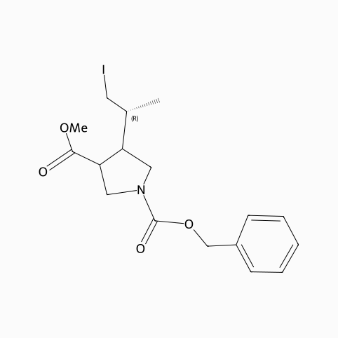 COC(=O)C1CN(C(=O)OCc2ccccc2)CC1[C@@H](C)CI